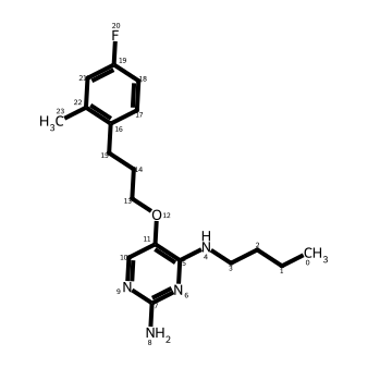 CCCCNc1nc(N)ncc1OCCCc1ccc(F)cc1C